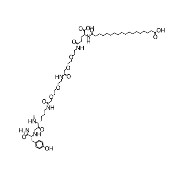 NC(=O)[C@@H](Cc1ccc(O)cc1)NCC(=O)[C@@H](CCCCNC(=O)COCCOCCNC(=O)COCCOCCNC(=O)CCC(NC(=O)CCCCCCCCCCCCCCCCC(=O)O)C(=O)O)NI